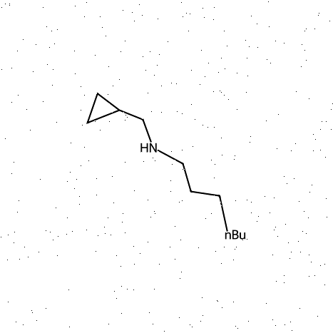 CCCCCCCNCC1CC1